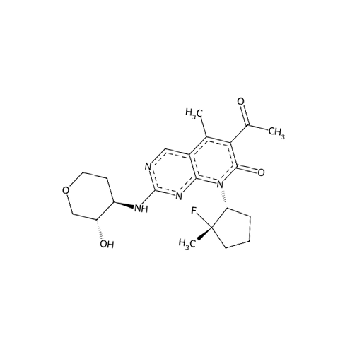 CC(=O)c1c(C)c2cnc(N[C@@H]3CCOC[C@H]3O)nc2n([C@@H]2CCC[C@]2(C)F)c1=O